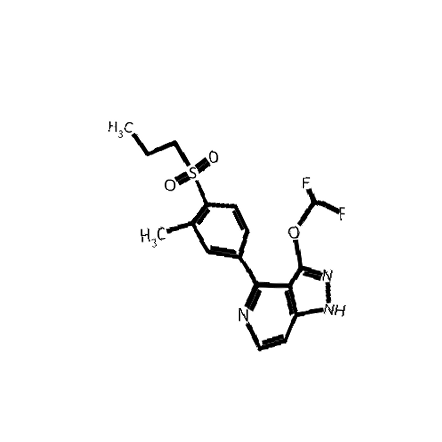 CCCS(=O)(=O)c1ccc(-c2nccc3[nH]nc(OC(F)F)c23)cc1C